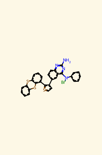 Nc1nc(N(Br)c2ccccc2)c2cc(-c3ccsc3-c3cccc4c3Sc3ccccc3S4)ccc2n1